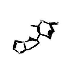 Cc1[nH]c(=O)ccc1-c1ccc2nccn2c1